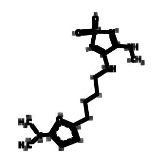 CNC1=NS(=O)(=O)N=C1NCCCCc1ccc(N(C)C)o1